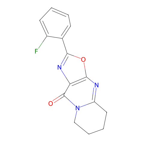 O=c1c2nc(-c3ccccc3F)oc2nc2n1CCCC2